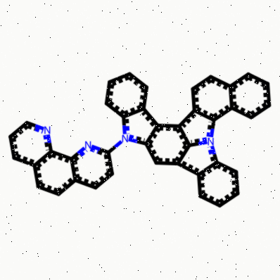 c1ccc2c(c1)ccc1c3c4c5ccccc5n(-c5ccc6ccc7cccnc7c6n5)c4cc4c5ccccc5n(c21)c43